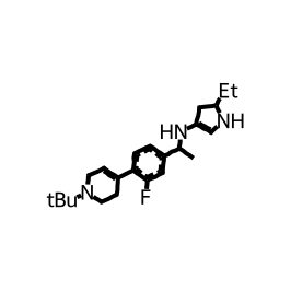 CCC1CC(NC(C)c2ccc(C3=CCN(C(C)(C)C)CC3)c(F)c2)=CN1